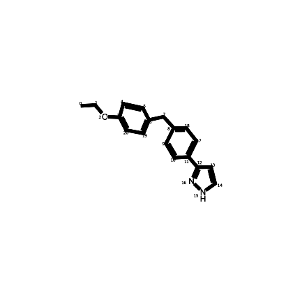 CCOc1ccc(Cc2ccc(-c3cc[nH]n3)cc2)cc1